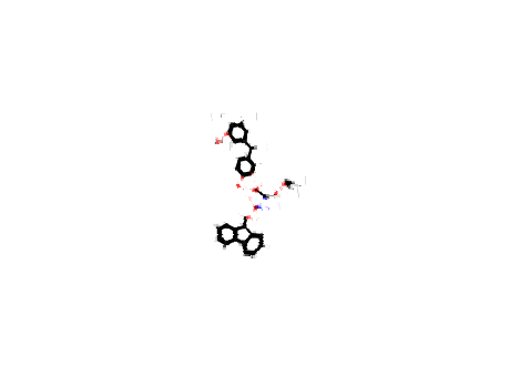 COc1ccc(C(C)c2cc(C)c(C)c(OC)c2)cc1OC(=O)[C@@H](COC(C)(C)C)NC(=O)OCC1c2ccccc2-c2ccccc21